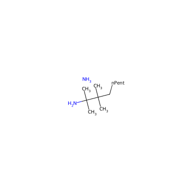 CCCCCCC(C)(C)C(C)(C)N.N